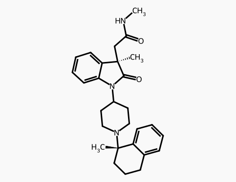 CNC(=O)C[C@@]1(C)C(=O)N(C2CCN([C@@]3(C)CCCc4ccccc43)CC2)c2ccccc21